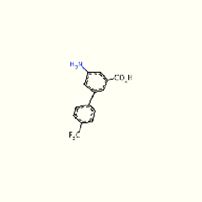 Nc1cc(C(=O)O)cc(-c2ccc(C(F)(F)F)cc2)c1